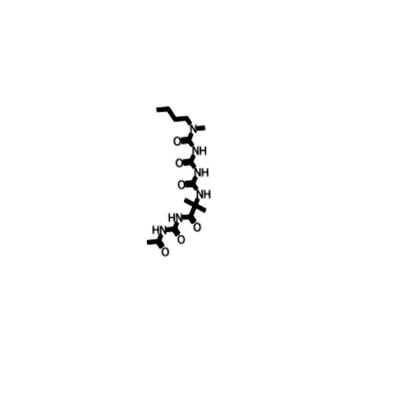 CCCCN(C)C(=O)NC(=O)NC(=O)NC(C)(C)C(=O)NC(=O)NC(C)=O